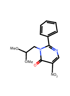 COC(Cn1c(-c2ccccc2)ncc([N+](=O)[O-])c1=O)OC